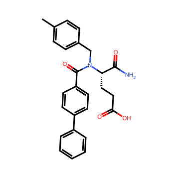 Cc1ccc(CN(C(=O)c2ccc(-c3ccccc3)cc2)[C@@H](CCC(=O)O)C(N)=O)cc1